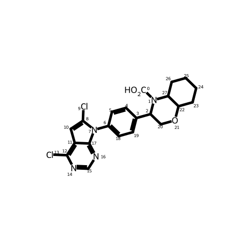 O=C(O)N1C(c2ccc(-n3c(Cl)cc4c(Cl)ncnc43)cc2)COC2CCCCC21